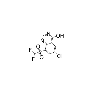 O=S(=O)(c1cc(Cl)cc2c(O)ncnc12)C(F)F